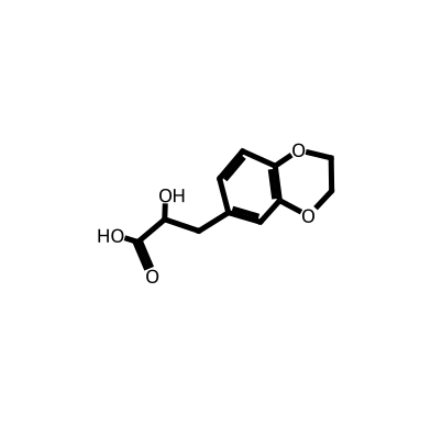 O=C(O)C(O)Cc1ccc2c(c1)OCCO2